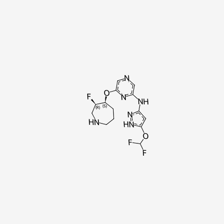 FC(F)Oc1cc(Nc2cncc(O[C@H]3CCCNC[C@H]3F)n2)n[nH]1